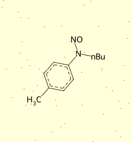 CCCCN(N=O)c1ccc(C)cc1